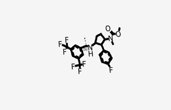 COC(=O)N(C)C1CCC(N[C@@H](C)c2cc(C(F)(F)F)cc(C(F)(F)F)c2)C1c1ccc(F)cc1